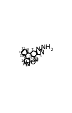 Nc1ncc2c(n1)CC(c1ccccc1-c1ccncc1)C/C2=N\O